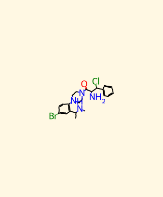 CNC(C)c1cc(Br)ccc1N1CCN(C(=O)C(N)C(Cl)c2ccccc2)CC1